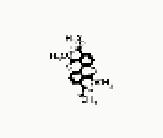 COC(=O)c1cccc(-c2cccc(C(=O)OC)c2C(=O)OC)c1C(=O)OC